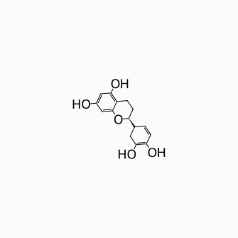 OC1=C(O)CC([C@@H]2CCc3c(O)cc(O)cc3O2)C=C1